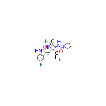 Cc1[nH]c(/C=C2\C(=O)Nc3ccc(F)cc32)c(C)c1NC(=O)N1CCCC1